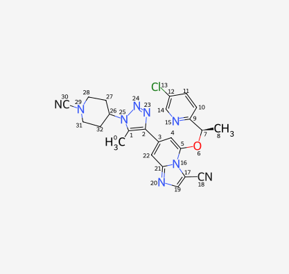 Cc1c(-c2cc(O[C@H](C)c3ccc(Cl)cn3)n3c(C#N)cnc3c2)nnn1C1CCN(C#N)CC1